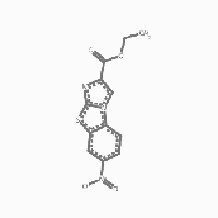 CCOC(=O)c1cn2c(n1)sc1cc([N+](=O)[O-])ccc12